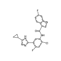 O=C(Nc1cc(-c2nnc(C3CC3)[nH]2)c(F)cc1Cl)c1cnn2cc(F)ccc12